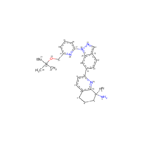 CCCC1(N)CCCc2ccc(-c3ccc4cnn(-c5cccc(CO[Si](C)(C)C(C)(C)C)n5)c4c3)nc21